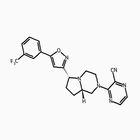 N#Cc1nccnc1N1CCN2[C@@H](CC[C@@H]2c2cc(-c3cccc(C(F)(F)F)c3)on2)C1